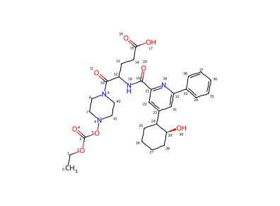 CCOC(=O)ON1CCN(C(=O)C(CCC(=O)O)NC(=O)c2cc(C3CCCC[C@@H]3O)cc(-c3ccccc3)n2)CC1